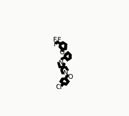 O=C(c1ccc(Cl)cc1)N1CCC2(CCN(Cc3ccccc3Oc3cccc(C(F)(F)F)c3)C2)CC1